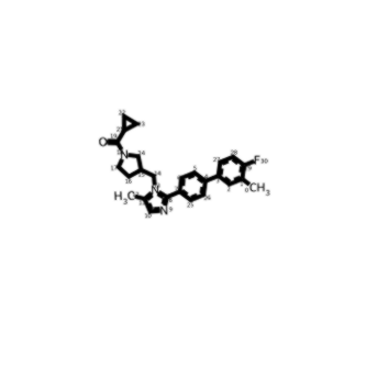 Cc1cc(-c2ccc(-c3ncc(C)n3CC3CCN(C(=O)C4CC4)C3)cc2)ccc1F